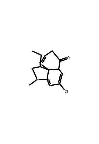 CCC1CN(C)C2=CC(Cl)=CC3C(=O)CC=NC213